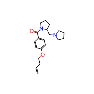 C=CCCOc1ccc(C(=O)N2CCC[C@H]2CN2CCCC2)cc1